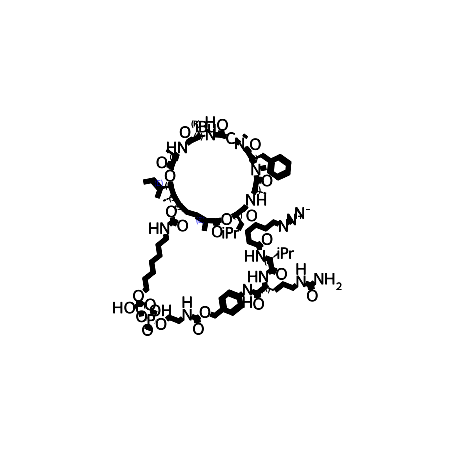 C/C=C(\C)[C@H]1OC(=O)[C@@H](C)NC(=O)[C@H]([C@H](C)CC)NC(=O)CN(C)C(=O)[C@@H](Cc2ccccc2)N(C)C(=O)[C@H](C)NC(=O)[C@@H](CC(C)C)OC(=O)/C(C)=C/C[C@H](OC(=O)NCCCCCCCOP(=O)(O)OP(=O)(O)OCCNC(=O)OCc2ccc(NC(=O)[C@@H](CCCNC(N)=O)NC(=O)[C@H](NC(=O)CCCCCN=[N+]=[N-])C(C)C)cc2)[C@@H]1C